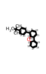 CC(C)(C)c1ccc(-c2cccc3c2oc2ccccc23)cc1